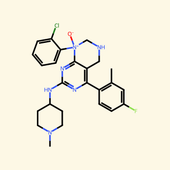 Cc1cc(F)ccc1-c1nc(NC2CCN(C)CC2)nc2c1CNC[N+]2([O-])c1ccccc1Cl